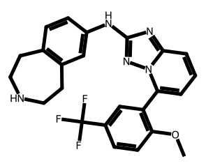 COc1ccc(C(F)(F)F)cc1-c1cccc2nc(Nc3ccc4c(c3)CCNCC4)nn12